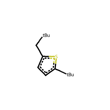 CC(C)(C)Cc1ccc(C(C)(C)C)s1